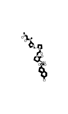 CN(C(=O)C[S+](C)[O-])C1CCN(C[C@@H]2CCCN2C(=O)CN2CCC[C@H](NS(=O)(=O)c3ccc4cc(Cl)ccc4c3)C2=O)C1